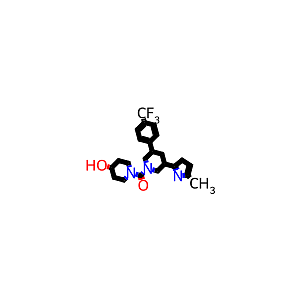 CC1=CCC(C2CC(c3ccc(C(F)(F)F)cc3)CN(C(=O)N3CCC(O)CC3)C2)=N1